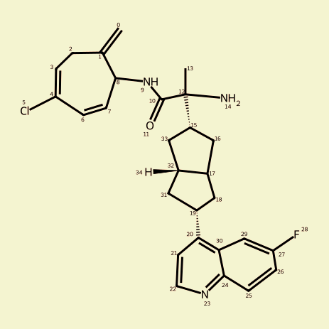 C=C1CC=C(Cl)C=CC1NC(=O)C(C)(N)[C@@H]1CC2C[C@H](c3ccnc4ccc(F)cc34)C[C@@H]2C1